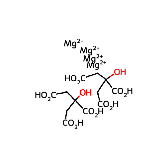 O=C(O)CC(O)(CC(=O)O)C(=O)O.O=C(O)CC(O)(CC(=O)O)C(=O)O.[Mg+2].[Mg+2].[Mg+2].[Mg+2]